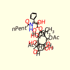 CCCCCC(=O)N[C@@H](c1ccccc1)[C@@H](O)C(=O)O[C@H]1C[C@@]2(O)[C@@H](O)[C@@H]3[C@]4(OC(C)=O)CO[C@@H]4C[C@H](O)[C@@]3(C)C(=O)[C@H](OC(C)=O)C(=C1C)C2(C)C